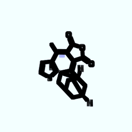 C/C(=C1\C(=O)OC(=O)C1=C1[C@H]2CC3C[C@@H](C2)C[C@H]1C3)c1ccsc1